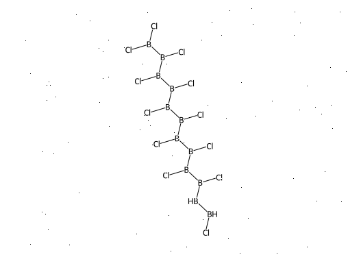 ClBBB(Cl)B(Cl)B(Cl)B(Cl)B(Cl)B(Cl)B(Cl)B(Cl)B(Cl)B(Cl)Cl